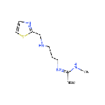 CN/C(=N/CCCNCc1nccs1)NC#N